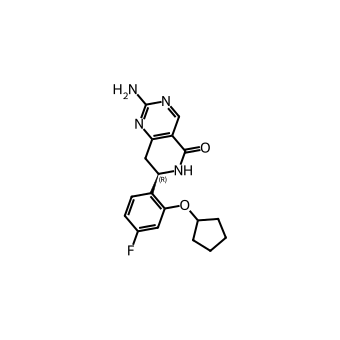 Nc1ncc2c(n1)C[C@H](c1ccc(F)cc1OC1CCCC1)NC2=O